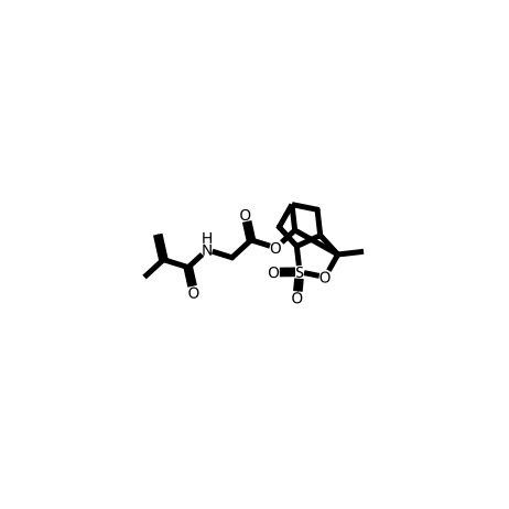 C=C(C)C(=O)NCC(=O)OC1C2CC3C(C2)S(=O)(=O)OC31C